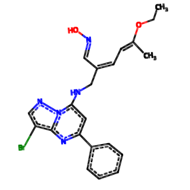 CCO/C(C)=C/C=C(\C=N\O)CNc1cc(-c2ccccc2)nc2c(Br)cnn12